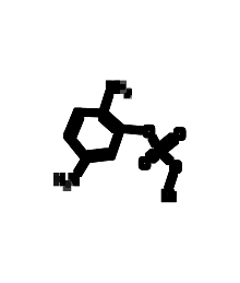 CCOS(=O)(=O)Oc1cc(N)ccc1N